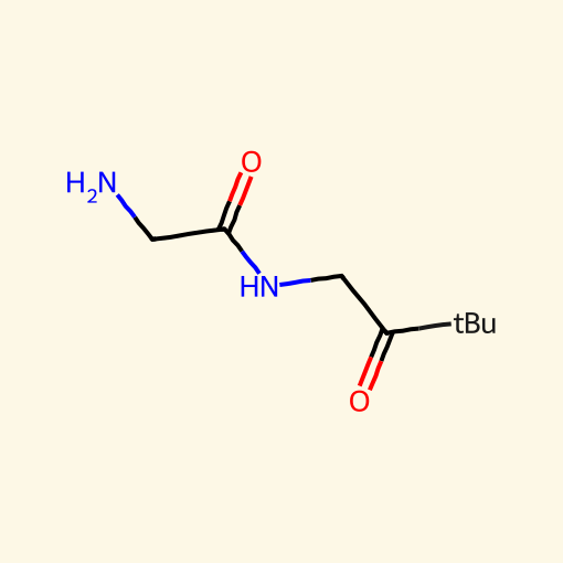 CC(C)(C)C(=O)CNC(=O)CN